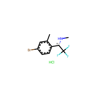 CN[C@@H](c1ccc(Br)cc1C)C(F)(F)F.Cl